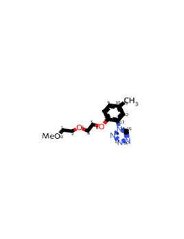 COCCOCCOc1ccc(C)cc1-n1cnnn1